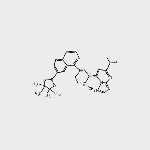 C[C@@H]1CCN(c2nccc3ccc(B4OC(C)(C)C(C)(C)O4)cc23)C[C@H]1c1cc(C(F)F)nc2ncnn12